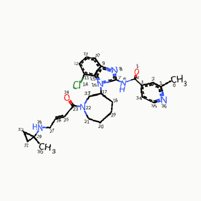 Cc1cc(C(=O)Nc2nc3cccc(Cl)c3n2C2CCCCN(C(=O)C=CCNC3(C)CC3)C2)ccn1